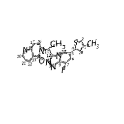 Cc1csc(-c2cc(F)c3nnc([C@H](C)n4ccc5ncccc5c4=O)n3c2)c1